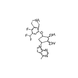 Cc1ncnc2c1ccn2C1CC(Oc2cc(C(F)F)c(F)c3c2CNCC3)[C@@H](O)[C@H]1O